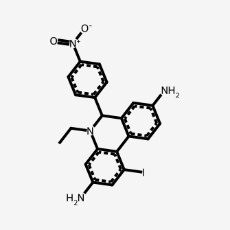 CCN1c2cc(N)cc(I)c2-c2ccc(N)cc2C1c1ccc([N+](=O)[O-])cc1